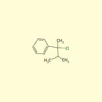 CC(C)C(C)(Cl)c1ccccc1